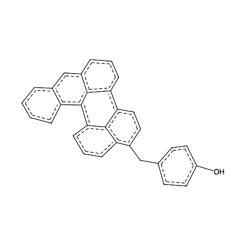 Oc1ccc(Cc2ccc3c4cccc5cc6ccccc6c(c6cccc2c36)c54)cc1